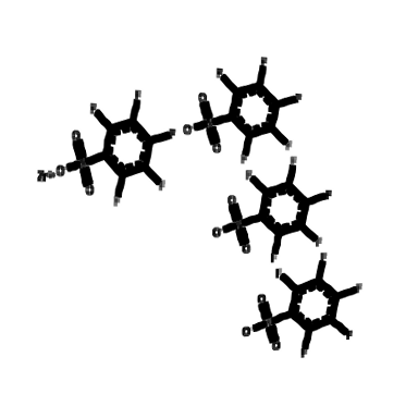 O=S(=O)([O-])c1c(F)c(F)c(F)c(F)c1F.O=S(=O)([O-])c1c(F)c(F)c(F)c(F)c1F.O=S(=O)([O-])c1c(F)c(F)c(F)c(F)c1F.O=S(=O)([O-])c1c(F)c(F)c(F)c(F)c1F.[Zr+4]